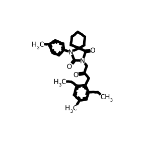 CCc1cc(C)cc(CC)c1CC(=O)CN1C(=O)N(c2ccc(C)cc2)C2(CCCCC2)C1=O